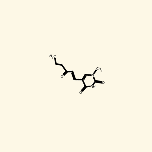 CCCC(=O)/C=C/c1cn(C)c(=O)[nH]c1=O